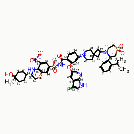 CC(C)c1ccccc1[C@@H]1CS(=O)(=O)CCN1C1CC2(CCN(c3ccc(C(=O)NS(=O)(=O)c4cc5c(c([N+](=O)[O-])c4)N[C@@H](C4CCC(C)(O)CC4)CO5)c(Oc4cnc5[nH]cc(F)c5c4)c3)CC2)C1